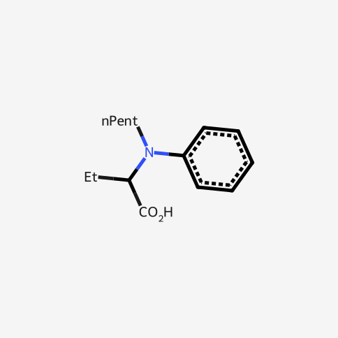 CCCCCN(c1ccccc1)C(CC)C(=O)O